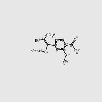 CCCCCOC(=C(CC)C(=O)O)c1ccc(C(=O)CCC)c(OCCC)c1